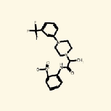 CC(C(=O)Nc1ccccc1[N+](=O)[O-])N1CCN(c2cccc(C(F)(F)F)c2)CC1